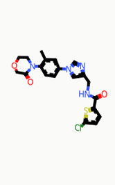 Cc1cc(-n2cnc(CNC(=O)c3ccc(Cl)s3)c2)ccc1N1CCOCC1=O